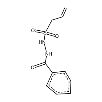 C=CCS(=O)(=O)NNC(=O)c1ccccc1